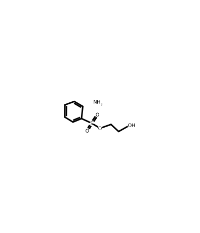 N.O=S(=O)(OCCO)c1ccccc1